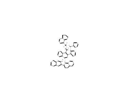 c1ccc(-c2nc(-c3cccc4ccccc34)nc(-c3c(-c4ccccc4)cc(-n4c5cc6ccccc6cc5c5ccc6ccccc6c54)c4ccccc34)n2)cc1